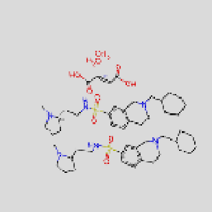 CN1CCCC1CCNS(=O)(=O)c1ccc2c(c1)CN(CC1CCCCC1)CC2.CN1CCC[C@H]1CCNS(=O)(=O)c1ccc2c(c1)CN(CC1CCCCC1)CC2.O.O.O=C(O)/C=C/C(=O)O